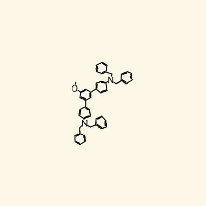 COc1cc(-c2ccc(N(Cc3ccccc3)Cc3ccccc3)cc2)cc(-c2ccc(N(Cc3ccccc3)Cc3ccccc3)cc2)c1